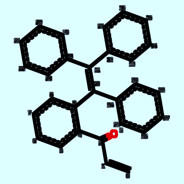 C=CC(=O)c1ccccc1C(=C(c1ccccc1)c1ccccc1)c1ccccc1